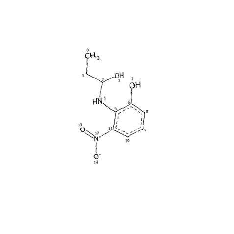 CCC(O)Nc1c(O)cccc1[N+](=O)[O-]